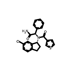 NC(=O)[C@@H](c1ccccc1)N(C(=O)c1ccsc1)[C@@H]1CCc2ccc(Cl)cc21